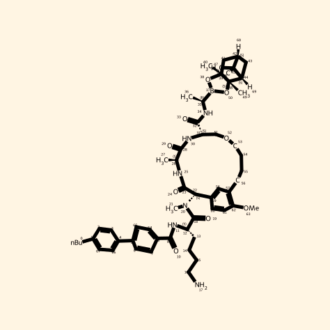 CCCCc1ccc(-c2ccc(C(=O)N[C@@H](CCCCN)C(=O)N(C)[C@@H]3C(=O)N[C@@H](C)C(=O)N[C@H](C(=O)N[C@@H](C)B4O[C@]5(C)C[C@@H]6C[C@@H](C6(C)C)[C@]5(C)O4)COCCCCc4cc3ccc4OC)cc2)cc1